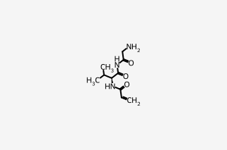 C=CC(=O)N[C@H](C(=O)NC(=O)CN)C(C)C